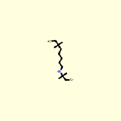 CC(=O)CC(C)(C)CCCCCNC(C)(C)CC(C)=O